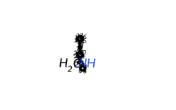 C=C(NC1CCCC1)c1ccc(C#Cc2ccccc2)cc1